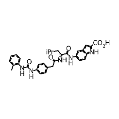 Cc1ccccc1NC(=O)Nc1ccc(CC(=O)N[C@@H](CC(C)C)C(=O)Nc2ccc3[nH]c(C(=O)O)cc3c2)cc1